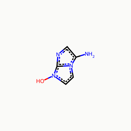 Nc1cnc2n(O)ccn12